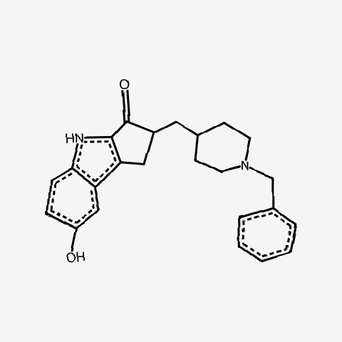 O=C1c2[nH]c3ccc(O)cc3c2CC1CC1CCN(Cc2ccccc2)CC1